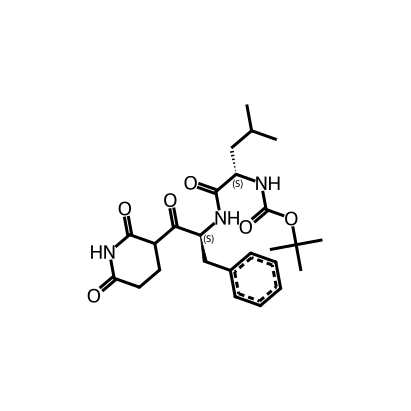 CC(C)C[C@H](NC(=O)OC(C)(C)C)C(=O)N[C@@H](Cc1ccccc1)C(=O)C1CCC(=O)NC1=O